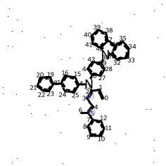 C=C/C(=C\C=C(/C)c1ccccc1)N(c1ccc(-c2ccccc2)cc1)c1ccc(-n2c3ccccc3c3ccccc32)cc1